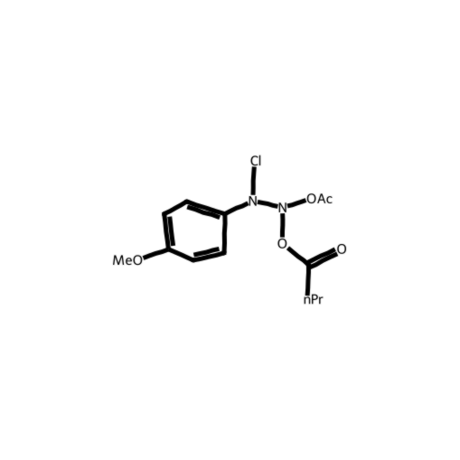 CCCC(=O)ON(OC(C)=O)N(Cl)c1ccc(OC)cc1